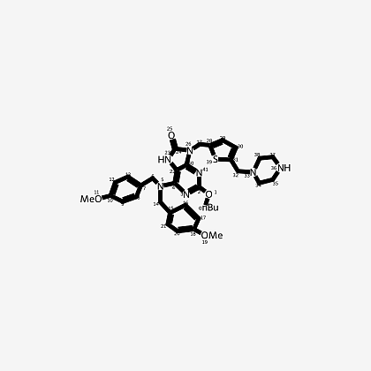 CCCCOc1nc(N(Cc2ccc(OC)cc2)Cc2ccc(OC)cc2)c2[nH]c(=O)n(Cc3ccc(CN4CCNCC4)s3)c2n1